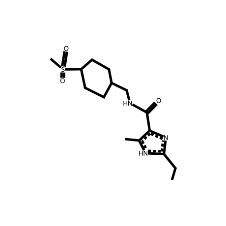 CCc1nc(C(=O)NCC2CCC(S(C)(=O)=O)CC2)c(C)[nH]1